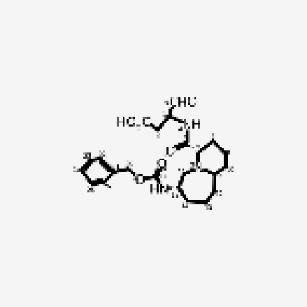 O=CC(CC(=O)O)NC(=O)[C@@H]1CCCC2CCC[C@H](NC(=O)OCc3ccccc3)CN21